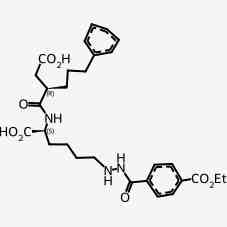 CCOC(=O)c1ccc(C(=O)NNCCCC[C@H](NC(=O)[C@H](CCCc2ccccc2)CC(=O)O)C(=O)O)cc1